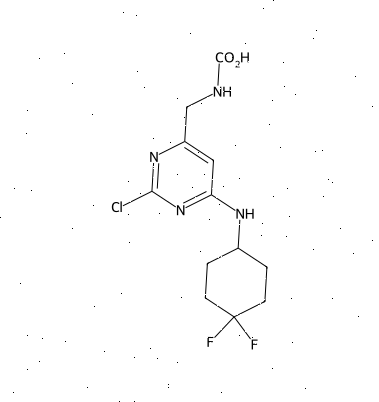 O=C(O)NCc1cc(NC2CCC(F)(F)CC2)nc(Cl)n1